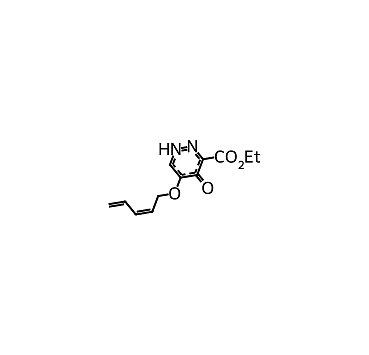 C=C/C=C\COc1c[nH]nc(C(=O)OCC)c1=O